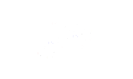 O=C(NC(CS)C(=O)O)c1cc(O)cc(C(=O)NC(CS)C(=O)O)c1